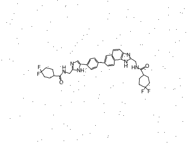 O=C(NCc1ncc(-c2ccc(-c3ccc4c(ccc5nc(CNC(=O)C6CCC(F)(F)CC6)[nH]c54)c3)cc2)[nH]1)C1CCC(F)(F)CC1